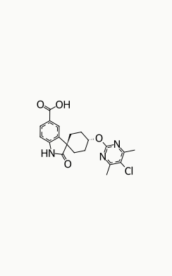 Cc1nc(O[C@H]2CC[C@@]3(CC2)C(=O)Nc2ccc(C(=O)O)cc23)nc(C)c1Cl